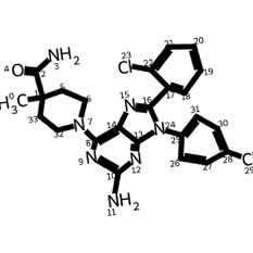 CC1(C(N)=O)CCN(c2nc(N)nc3c2nc(-c2ccccc2Cl)n3-c2ccc(Cl)cc2)CC1